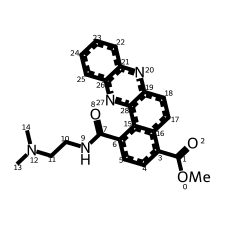 COC(=O)c1ccc(C(=O)NCCN(C)C)c2c1ccc1nc3ccccc3nc12